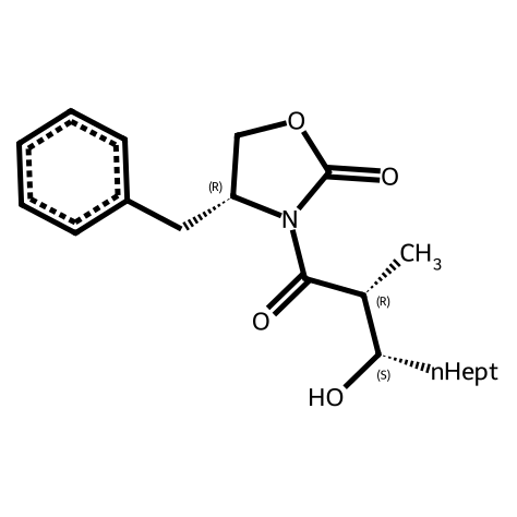 CCCCCCC[C@H](O)[C@@H](C)C(=O)N1C(=O)OC[C@H]1Cc1ccccc1